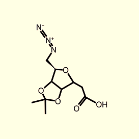 CC1(C)OC2C(CC(=O)O)O[C@H](CN=[N+]=[N-])C2O1